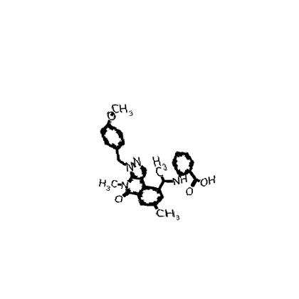 COc1ccc(Cn2ncc3c4c(C(C)Nc5ccccc5C(=O)O)cc(C)cc4c(=O)n(C)c32)cc1